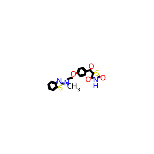 CN(CCOc1ccc(C(=O)C2SC(=O)NC2=O)cc1)c1nc2ccccc2s1